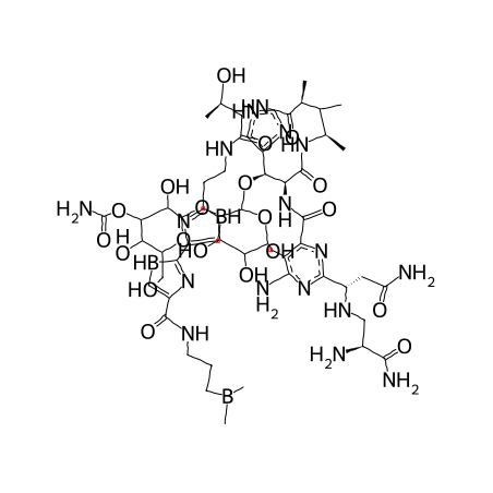 CB(C)CCCNC(=O)C1=CBC(C2=CBC(CCNC(=O)[C@@H](NC(=O)[C@@H](C)C(C)[C@@H](C)NC(=O)[C@@H](NC(=O)c3nc([C@H](CC(N)=O)NC[C@H](N)C(N)=O)nc(N)c3C)[C@@H](OC3OC(O)C(O)C(O)C3OC3OC(CO)C(O)C(OC(N)=O)C3O)c3c[nH]cn3)[C@@H](C)O)=N2)=N1